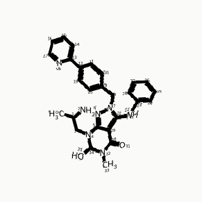 CC(N)CN1c2nn(Cc3ccc(-c4ccccn4)cc3)c(Nc3ccccc3)c2C(=O)N(C)C1O